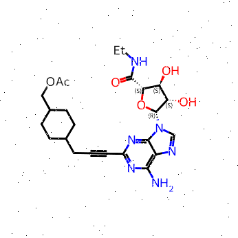 CCNC(=O)[C@H]1O[C@@H](n2cnc3c(N)nc(C#CCC4CCC(COC(C)=O)CC4)nc32)[C@@H](O)[C@@H]1O